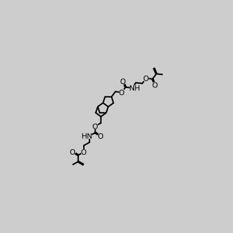 C=C(C)C(=O)OCCNC(=O)OCC1CC2C3CC(COC(=O)NCCOC(=O)C(=C)C)C(C3)C2C1